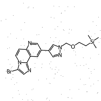 C[Si](C)(C)CCOCn1cc(-c2cnc3ccn4c(Br)cnc4c3c2)cn1